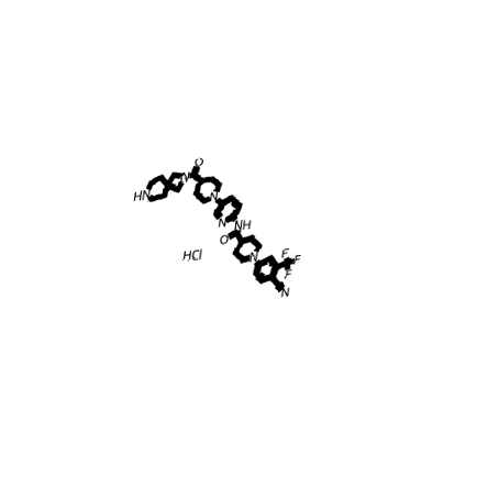 Cl.N#Cc1ccc(N2CCC(C(=O)Nc3ccc(N4CCC(C(=O)N5CC6(CCNCC6)C5)CC4)cn3)CC2)cc1C(F)(F)F